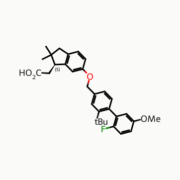 COc1ccc(F)c(-c2ccc(COc3ccc4c(c3)[C@@H](CC(=O)O)C(C)(C)C4)cc2C(C)(C)C)c1